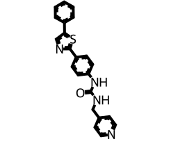 O=C(NCc1ccncc1)Nc1ccc(-c2ncc(-c3ccccc3)s2)cc1